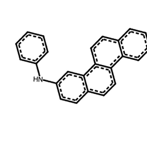 c1ccc(Nc2ccc3ccc4c5ccccc5ccc4c3c2)cc1